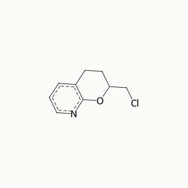 ClCC1CCc2cccnc2O1